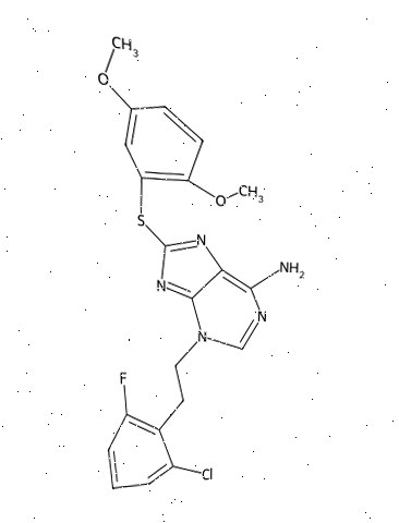 COc1ccc(OC)c(Sc2nc3c(N)ncn(CCc4c(F)cccc4Cl)c-3n2)c1